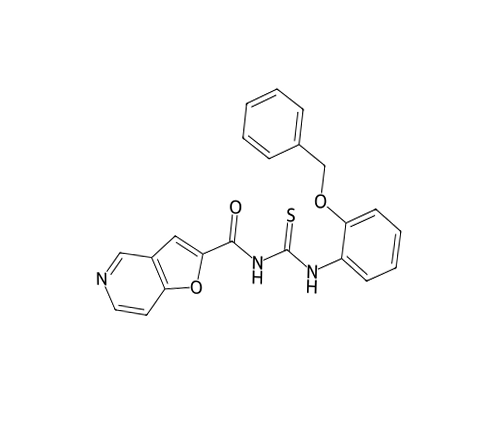 O=C(NC(=S)Nc1ccccc1OCc1ccccc1)c1cc2cnccc2o1